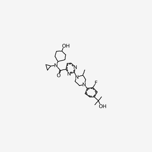 CC1CN(c2ccc(C(C)(C)O)cc2F)CCN1c1nccc(C(=O)N(C2CCC(O)CC2)C2CC2)n1